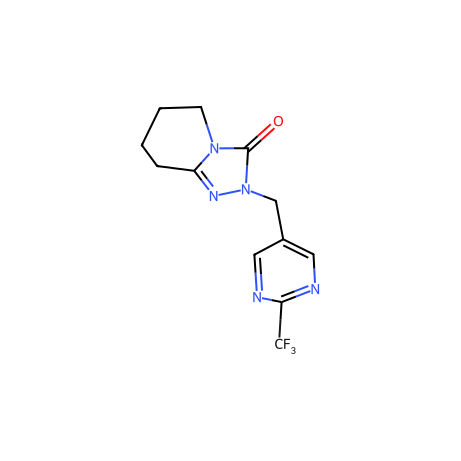 O=c1n(Cc2cnc(C(F)(F)F)nc2)nc2n1CCCC2